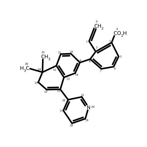 C=Cc1c(C(=O)O)cccc1-c1ccc2c(c1)C(c1cccnc1)=CCC2(C)C